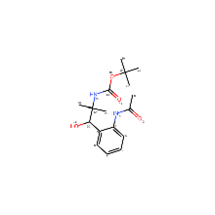 CC(=O)Nc1ccccc1C(O)C(C)(C)NC(=O)OC(C)(C)C